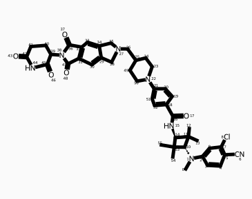 CN(c1ccc(C#N)c(Cl)c1)[C@H]1C(C)(C)[C@H](NC(=O)c2ccc(N3CCC(CN4Cc5cc6c(cc5C4)C(=O)N(C4CCC(=O)NC4=O)C6=O)CC3)cc2)C1(C)C